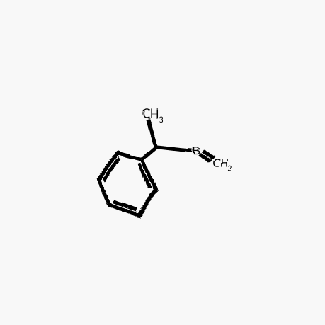 C=BC(C)c1ccccc1